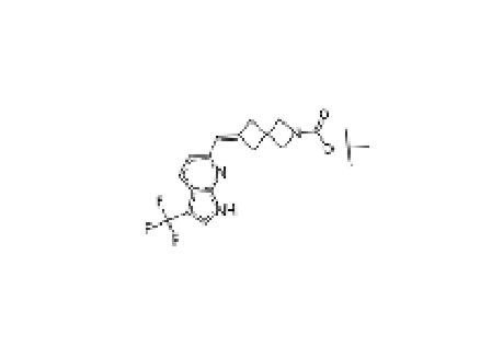 CC(C)(C)OC(=O)N1CC2(CC(=Cc3ccc4c(C(F)(F)F)c[nH]c4n3)C2)C1